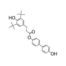 CC(C)(C)c1cc(CCC(=O)Oc2ccc(-c3ccc(O)cc3)cc2)cc(C(C)(C)C)c1O